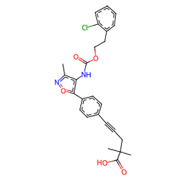 Cc1noc(-c2ccc(C#CCC(C)(C)C(=O)O)cc2)c1NC(=O)OCCc1ccccc1Cl